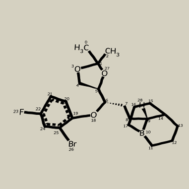 CC1(C)OC[C@H]([C@H](CC[C@H]2B3CCCC2CCC3)Oc2ccc(F)cc2Br)O1